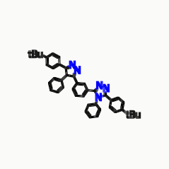 CC(C)(C)c1ccc(C2=NN=C(c3cccc(-c4nnc(-c5ccc(C(C)(C)C)cc5)n4-c4ccccc4)c3)C2c2ccccc2)cc1